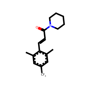 Cc1cc(C(F)(F)F)cc(C)c1C=CC(=O)N1CCCCC1